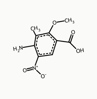 COc1c(C(=O)O)cc([N+](=O)[O-])c(N)c1C